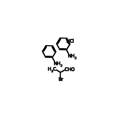 CC(Br)C=O.Cl.Nc1ccccc1.Nc1ccccc1